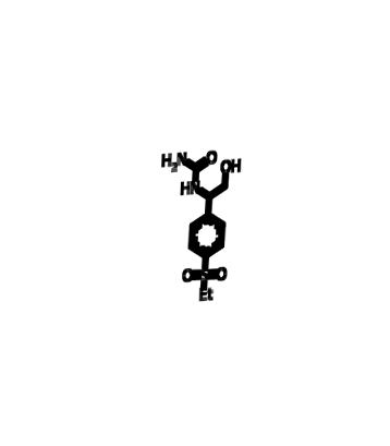 CCS(=O)(=O)c1ccc(C(CO)NC(N)=O)cc1